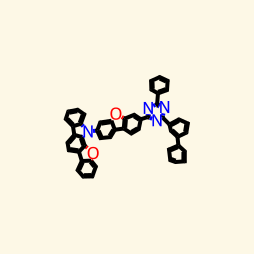 c1ccc(-c2cccc(-c3nc(-c4ccccc4)nc(-c4ccc5c(c4)oc4cc(-n6c7ccccc7c7ccc8c9ccccc9oc8c76)ccc45)n3)c2)cc1